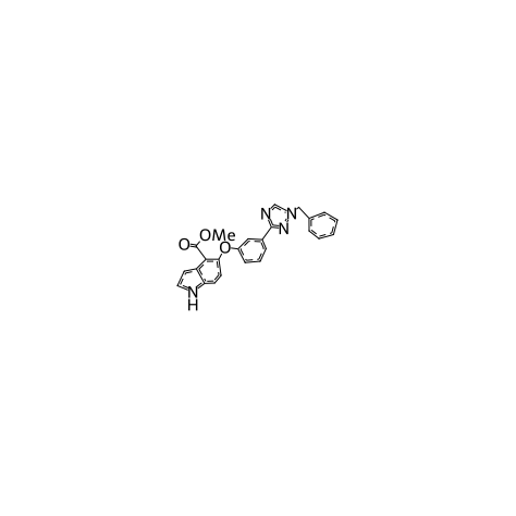 COC(=O)c1c(Oc2cccc(-c3ncn(Cc4ccccc4)n3)c2)ccc2[nH]ccc12